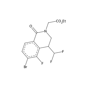 CCOC(=O)CN1CC(C(F)F)c2c(ccc(Br)c2F)C1=O